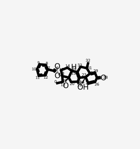 CC(=O)[C@@]1(OC(=O)c2ccccc2)CC[C@H]2C3=C(C(O)C[C@@]21C)[C@@]1(C)C=CC(=O)C=C1C(C)C3